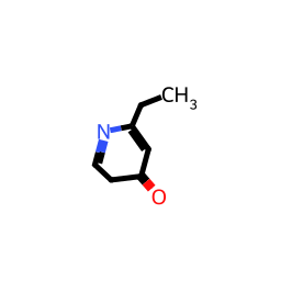 CCC1=CC(=O)CC=N1